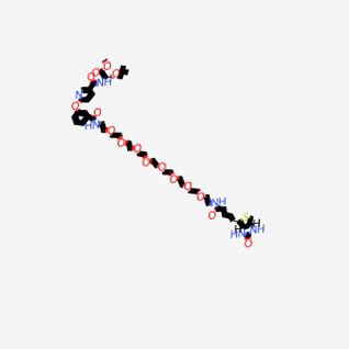 COC(=O)[C@H](COC(C)(C)C)NC(=O)c1ccc(Oc2cccc(C(=O)NCCOCCOCCOCCOCCOCCOCCOCCOCCNC(=O)CCCC[C@@H]3SC[C@@H]4NC(=O)N[C@@H]43)c2)nc1